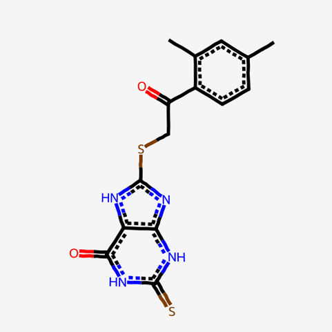 Cc1ccc(C(=O)CSc2nc3[nH]c(=S)[nH]c(=O)c3[nH]2)c(C)c1